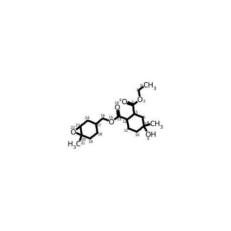 CCOC(=O)C1CC(C)(O)CCC1C(=O)OCC1CCC2(C)OC2C1